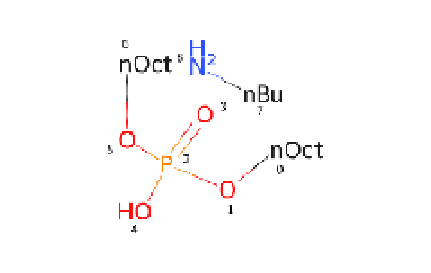 CCCCCCCCOP(=O)(O)OCCCCCCCC.CCCCN